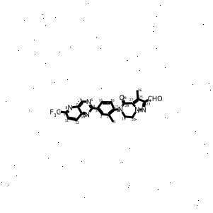 Cc1cc(-c2ncc3nc(C(F)(F)F)ccc3n2)ccc1N1CCn2nc(C=O)c(C)c2C1=O